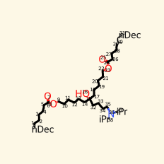 CCCCCCCCCCCCCCCC(=O)OCCCCCCC(O)(CCCCCCOC(=O)CCCCCCCCCCCCCCC)CCCCN(C(C)C)C(C)C